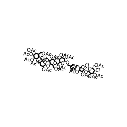 CC(=O)OCC1=C[C@H](N(C(C)=O)[C@H]2CC(OC(C)=O)[C@@H](O[C@@H]3C(COC(C)=O)O[C@H](O[C@@H]4C(COC(C)=O)O[C@@H](OCc5cn(C[C@H]6O[C@@](CCl)(O[C@@H]7O[C@H](COC(C)=O)[C@H](Cl)[C@H](OC(C)=O)[C@H]7OC(C)=O)[C@@H](OC(C)=O)[C@@H]6OC(C)=O)nn5)C(OC(C)=O)C4OC(C)=O)C(OC(C)=O)C3OC(C)=O)OC2C)[C@H](OC(C)=O)[C@@H](OC(C)=O)[C@@H]1OC(C)=O